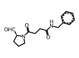 O=C[C@@H]1CCCN1C(=O)CCC(=O)NCc1ccccc1